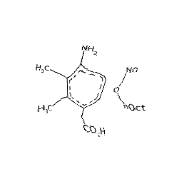 CCCCCCCCON=O.Cc1c(N)ccc(C(=O)O)c1C